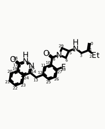 C=C(CC)CNC1CN(C(=O)c2cc(Cc3n[nH]c(=O)c4ccccc34)ccc2F)C1